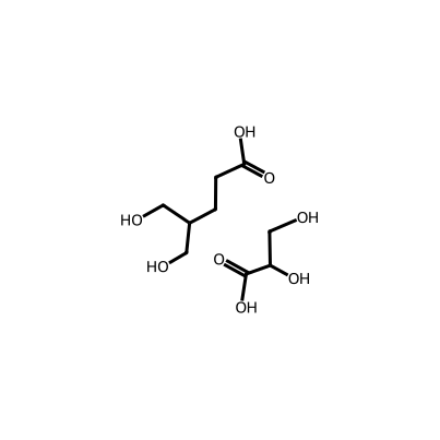 O=C(O)C(O)CO.O=C(O)CCC(CO)CO